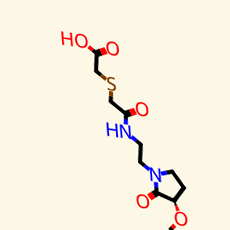 CO[C@@H]1CCN(CCNC(=O)CSCC(=O)O)C1=O